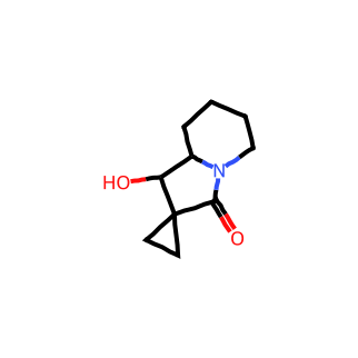 O=C1N2CCCCC2C(O)C12CC2